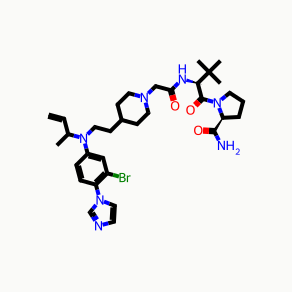 C=CC(C)N(CCC1CCN(CC(=O)N[C@H](C(=O)N2CCC[C@H]2C(N)=O)C(C)(C)C)CC1)c1ccc(-n2ccnc2)c(Br)c1